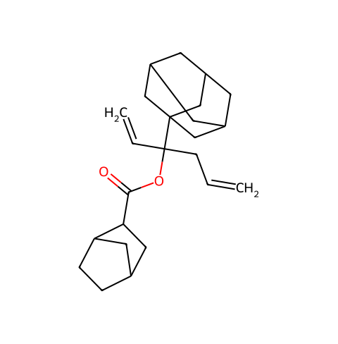 C=CCC(C=C)(OC(=O)C1CC2CCC1C2)C12CC3CC(CC(C3)C1)C2